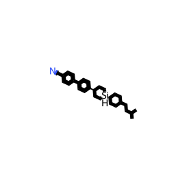 CC(C)CCC1CCC([Si@H]2CC[C@H](c3ccc(-c4ccc(C#N)cc4)cc3)CC2)CC1